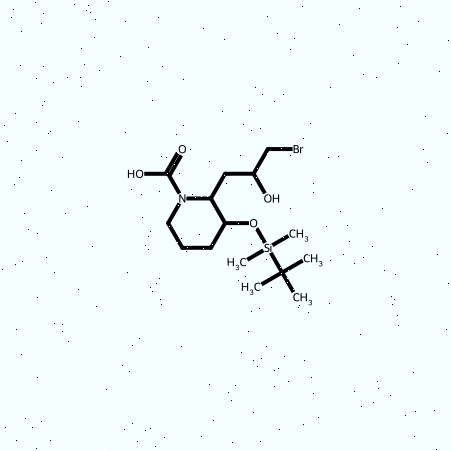 CC(C)(C)[Si](C)(C)OC1CCCN(C(=O)O)C1CC(O)CBr